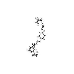 Fc1ccc(OCCN2CCN(CCCOc3cccc(C(F)(F)F)c3)CC2)cc1